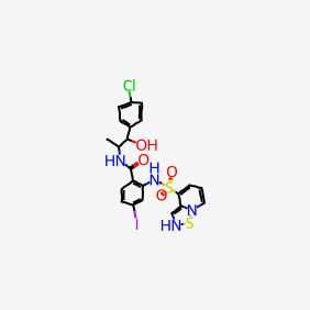 CC(NC(=O)c1ccc(I)cc1NS(=O)(=O)C1=CC=CN2SNC=C12)C(O)c1ccc(Cl)cc1